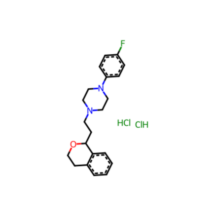 Cl.Cl.Fc1ccc(N2CCN(CCC3OCCc4ccccc43)CC2)cc1